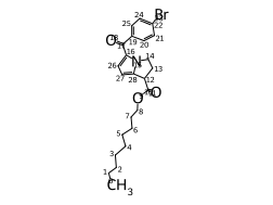 CCCCCCCCCOC(=O)C1CCn2c(C(=O)c3ccc(Br)cc3)ccc21